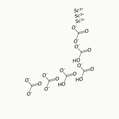 O=C([O-])O.O=C([O-])O.O=C([O-])O.O=C([O-])[O-].O=C([O-])[O-].O=C([O-])[O-].[Sc+3].[Sc+3].[Sc+3]